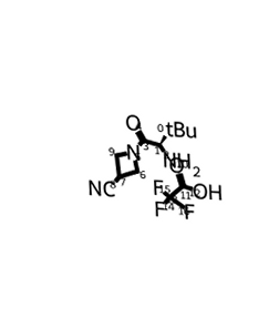 CC(C)(C)[C@@H](N)C(=O)N1CC(C#N)C1.O=C(O)C(F)(F)F